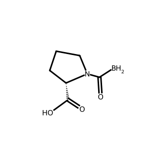 BC(=O)N1CCC[C@H]1C(=O)O